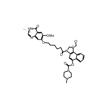 COc1cc2c(cc1OCCCCCC(=O)N1C[C@@H](CCl)c3c1cc(OC(=O)N1CCN(C)CC1)c1ccccc31)N=C[C@H](C)NC2=O